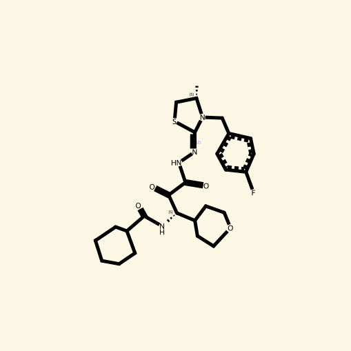 C[C@H]1CS/C(=N\NC(=O)C(=O)[C@@H](NC(=O)C2CCCCC2)C2CCOCC2)N1Cc1ccc(F)cc1